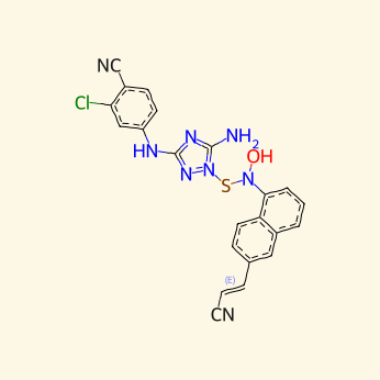 N#C/C=C/c1ccc2c(N(O)Sn3nc(Nc4ccc(C#N)c(Cl)c4)nc3N)cccc2c1